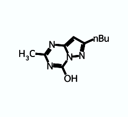 CCCCc1cc2nc(C)nc(O)n2n1